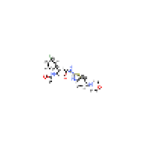 CC(=O)n1cc(CC(=O)Nc2nc3ccc(N4CCOCC4)cc3s2)c2cc(Cl)ccc21